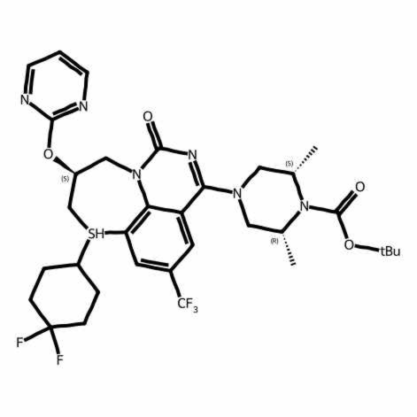 C[C@@H]1CN(c2nc(=O)n3c4c(cc(C(F)(F)F)cc24)[SH](C2CCC(F)(F)CC2)C[C@@H](Oc2ncccn2)C3)C[C@H](C)N1C(=O)OC(C)(C)C